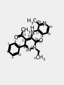 CCn1nc(-c2ccccc2)c(C(C)=O)c(Nc2cccnc2C)c1=O